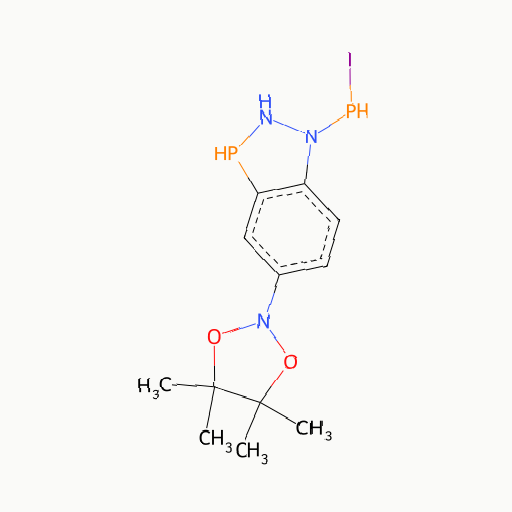 CC1(C)ON(c2ccc3c(c2)PNN3PI)OC1(C)C